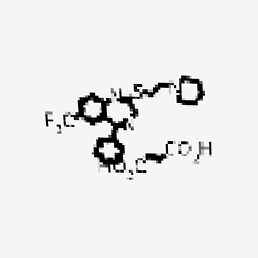 FC(F)(F)c1ccc2c(c1)C(c1ccccc1)=NCC(SCCN1CCCCC1)=N2.O=C(O)C=CC(=O)O